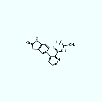 CC(C)NC(=O)c1ncccc1-c1ccc2c(c1)CC(=O)N2